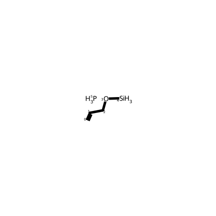 C=CCO[SiH3].P